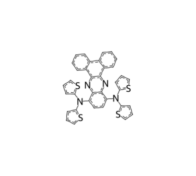 c1csc(N(c2cccs2)c2ccc(N(c3cccs3)c3cccs3)c3nc4c5ccccc5c5ccccc5c4nc23)c1